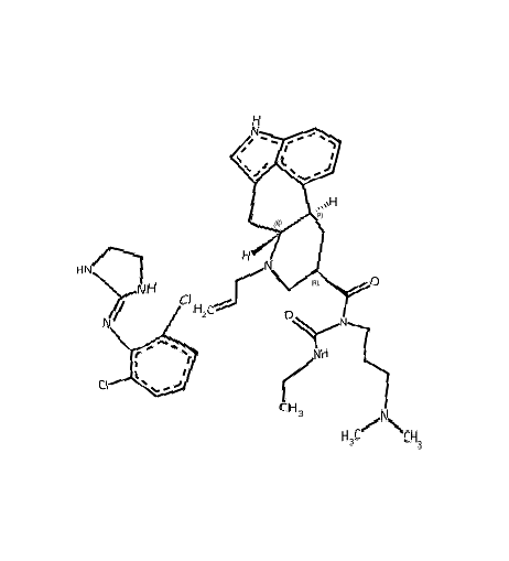 C=CCN1C[C@H](C(=O)N(CCCN(C)C)C(=O)NCC)C[C@@H]2c3cccc4[nH]cc(c34)C[C@H]21.Clc1cccc(Cl)c1N=C1NCCN1